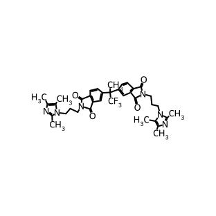 Cc1nc(C)n(CCCN2C(=O)c3ccc(C(C)(c4ccc5c(c4)C(=O)N(CCCn4c(C)nc(C)c4C)C5=O)C(F)(F)F)cc3C2=O)c1C